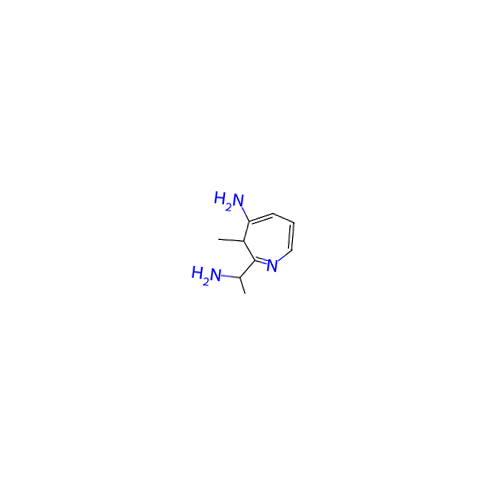 CC(N)C1=NC=CC=C(N)C1C